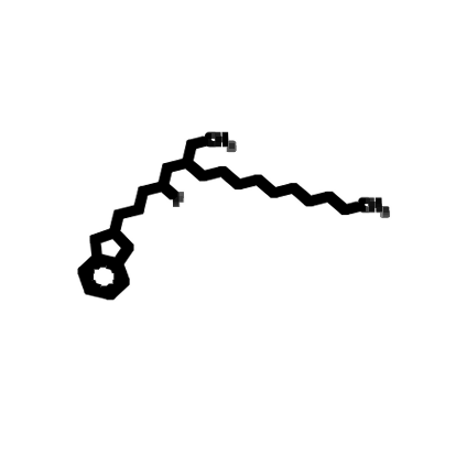 CCCCCCCCCCC(CC)CC(F)CCCC1Cc2ccccc2C1